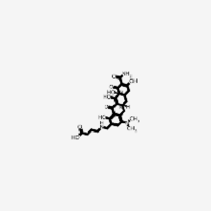 CN(C)c1cc(CNCCCC(=O)O)c(O)c2c1C[C@H]1CC3CC(O)=C(C(N)=O)C(=O)[C@@]3(O)C(O)=C1C2=O